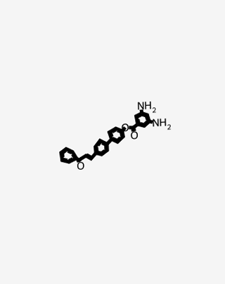 Nc1cc(N)cc(C(=O)Oc2ccc(-c3ccc(C=CC(=O)c4ccccc4)cc3)cc2)c1